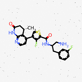 C[C@H]1CC(=O)Nc2nccc(-c3csc(C(=O)NC(CN)Cc4cccc(F)c4)c3F)c21